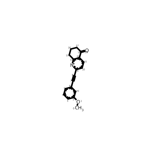 COc1cccc(C#Cc2ccc3c(n2)CCCC3=O)c1